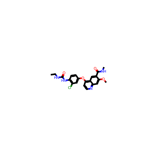 CCNC(=O)Nc1ccc(Oc2ccnc3cc(OC)c(C(=O)NC)cc23)cc1Cl